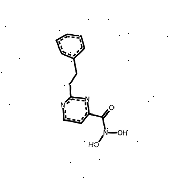 O=C(c1ccnc(CCc2ccccc2)n1)N(O)O